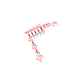 CCO.CCO.CCO.CCO.CCO.CCO.CCO.O.O.O.O.O.O